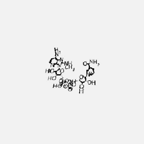 CNc1nc2c(N)ccnc2n1[C@@H]1O[C@H](COP(=O)(O)OP(=O)(O)OC[C@@H]2O[C@H]([n+]3cccc(C(N)=O)c3)[C@H](O)C2O)[C@H](O)C1O